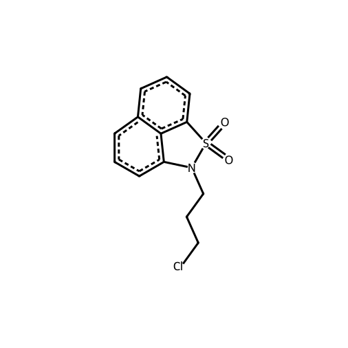 O=S1(=O)c2cccc3cccc(c23)N1CCCCl